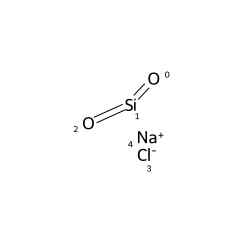 O=[Si]=O.[Cl-].[Na+]